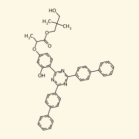 CC(Oc1ccc(-c2nc(-c3ccc(-c4ccccc4)cc3)nc(-c3ccc(-c4ccccc4)cc3)n2)c(O)c1)C(=O)OCC(C)(C)CO